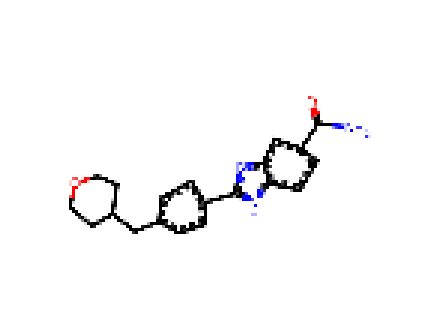 NC(=O)c1ccc2[nH]c(-c3ccc(CC4CCOCC4)cc3)nc2c1